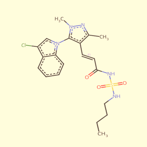 CCCCNS(=O)(=O)NC(=O)/C=C/c1c(C)nn(C)c1-n1cc(Cl)c2ccccc21